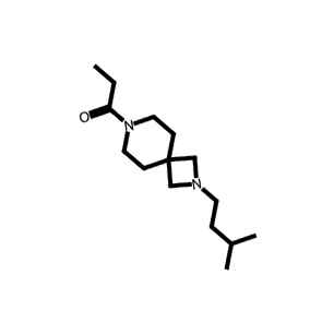 CCC(=O)N1CCC2(CC1)CN(CCC(C)C)C2